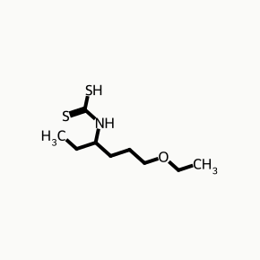 CCOCCCC(CC)NC(=S)S